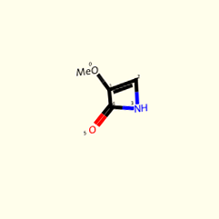 COC1=CNC1=O